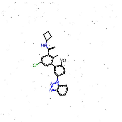 C=C(NC1CCC1)c1cc(Cl)cc(-c2cc(-n3nnc4ccccc43)ccc2N=O)c1C